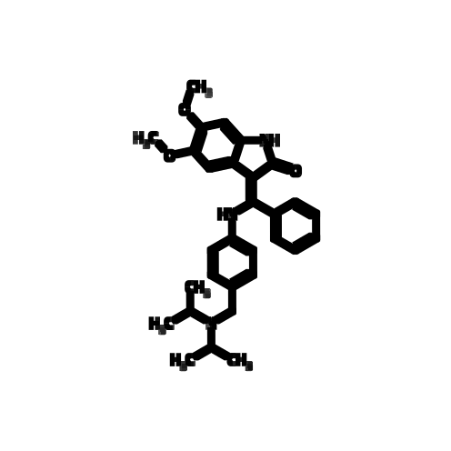 COc1cc2c(cc1OC)C(=C(Nc1ccc(CN(C(C)C)C(C)C)cc1)c1ccccc1)C(=O)N2